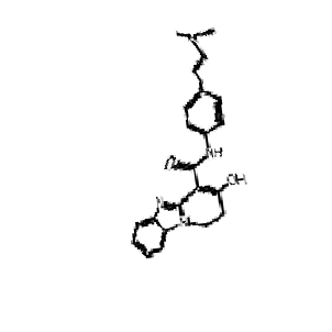 CN(C)CCc1ccc(NC(=O)C2=C(O)CCn3c2nc2ccccc23)cc1